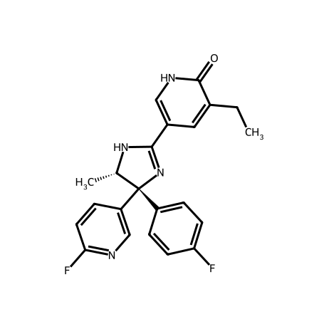 CCc1cc(C2=N[C@](c3ccc(F)cc3)(c3ccc(F)nc3)[C@H](C)N2)c[nH]c1=O